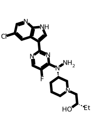 CC[C@H](O)CN1CCC[C@H](N(N)c2nc(-c3c[nH]c4ncc(Cl)cc34)ncc2F)C1